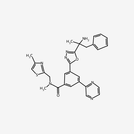 Cc1csc(CN(C)C(=O)c2cc(-c3cnccn3)cc(-c3nnc(C(C)(N)Cc4ccccc4)o3)c2)n1